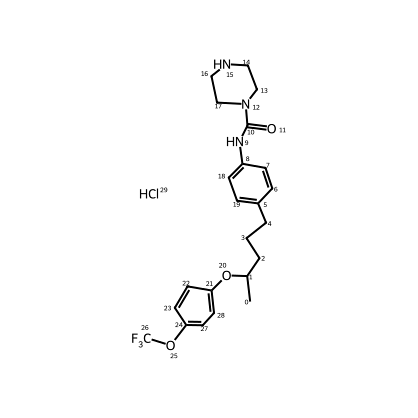 CC(CCCc1ccc(NC(=O)N2CCNCC2)cc1)Oc1ccc(OC(F)(F)F)cc1.Cl